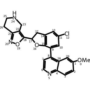 COc1ccc2nccc(-c3cc(Cl)cc4c3OC(c3onc5c3CNCC5)C4)c2c1